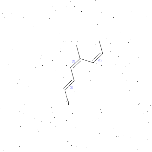 C\C=C/C(C)=C\C=C\I